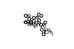 CC1(C)c2cc(N(c3ccc4c(c3)C(C)(C)c3c5c(c6c(oc7ccccc76)c3-4)-c3ccccc3C5(C)C)c3cccc4ccccc34)ccc2-c2c1cc(C1CCC3c4ccccc4C(C)(C)C3C1)c1oc3ccccc3c21